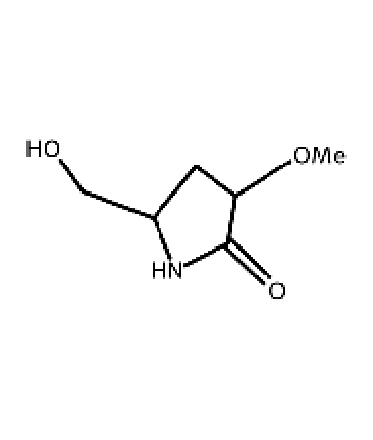 COC1CC(CO)NC1=O